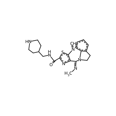 C=Nc1sc(C(=O)NCC2CCNCC2)nc1/C(=N\C)N1CCc2ccccc21